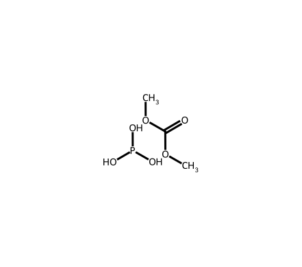 COC(=O)OC.OP(O)O